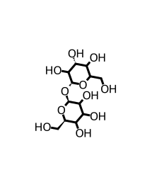 OCC1O[C@H](O[C@@H]2O[C@H](CO)C(O)C(O)C2O)C(O)[C@H](O)C1O